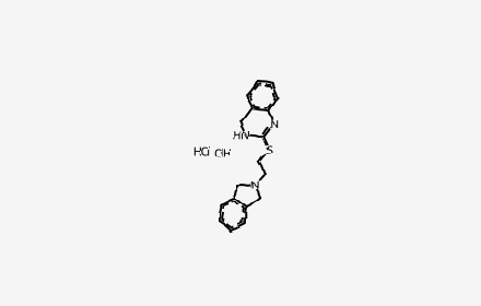 Cl.Cl.c1ccc2c(c1)CN(CCSC1=Nc3ccccc3CN1)C2